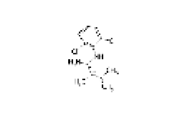 CN(C)[N+](C)=C(N)Nc1c(Cl)cccc1Cl